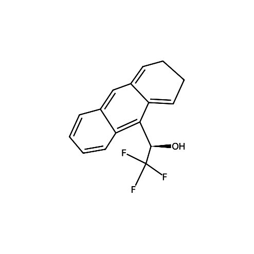 O[C@H](c1c2c(cc3ccccc13)=CCCC=2)C(F)(F)F